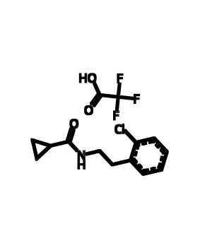 O=C(NCCc1ccccc1Cl)C1CC1.O=C(O)C(F)(F)F